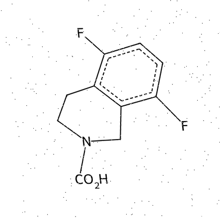 O=C(O)N1CCc2c(F)ccc(F)c2C1